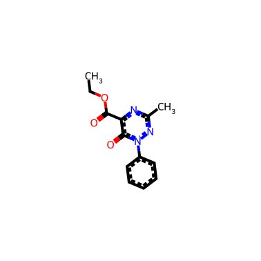 CCOC(=O)c1nc(C)nn(-c2ccccc2)c1=O